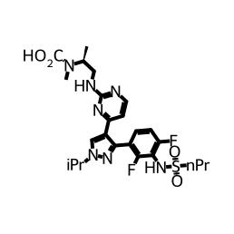 CCCS(=O)(=O)Nc1c(F)ccc(-c2nn(C(C)C)cc2-c2ccnc(NC[C@H](C)N(C)C(=O)O)n2)c1F